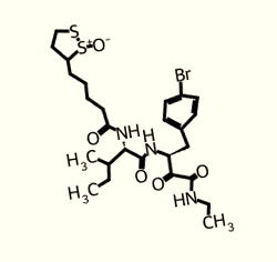 CCNC(=O)C(=O)[C@H](Cc1ccc(Br)cc1)NC(=O)[C@@H](NC(=O)CCCCC1CCS[S+]1[O-])C(C)CC